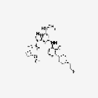 CNc1cc(Nc2cccn(C3CCN(CCF)CC3)c2=O)nc2c(C(=O)N[C@H]3CC[C@@H]3OC)cnn12